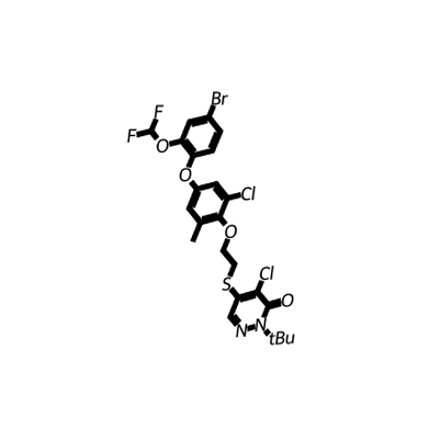 Cc1cc(Oc2ccc(Br)cc2OC(F)F)cc(Cl)c1OCCSc1cnn(C(C)(C)C)c(=O)c1Cl